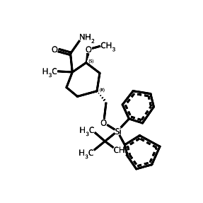 CO[C@H]1C[C@H](CO[Si](c2ccccc2)(c2ccccc2)C(C)(C)C)CCC1(C)C(N)=O